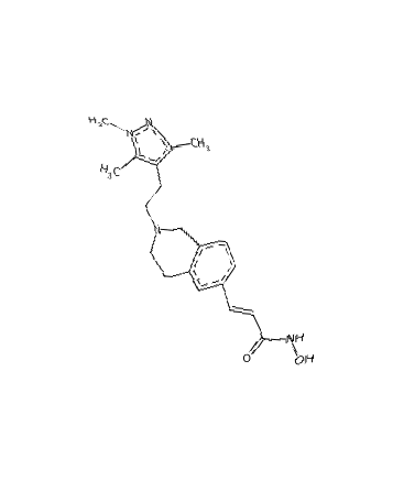 Cc1nn(C)c(C)c1CCN1CCc2cc(/C=C/C(=O)NO)ccc2C1